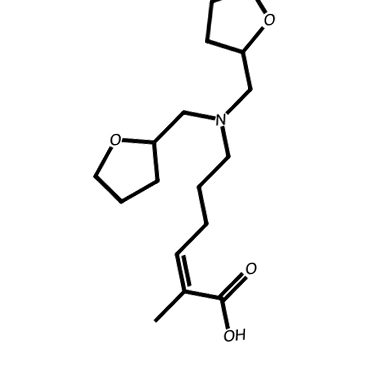 CC(=CCCCN(CC1CCCO1)CC1CCCO1)C(=O)O